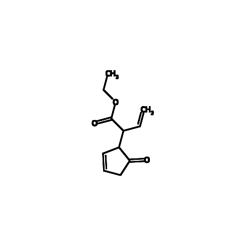 C=CC(C(=O)OCC)C1C=CCC1=O